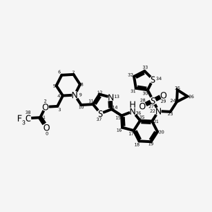 O=C(OCC1CCCCN1Cc1cnc(-c2cc3cccc(N(CC4CC4)S(=O)(=O)c4cccs4)c3[nH]2)s1)C(F)(F)F